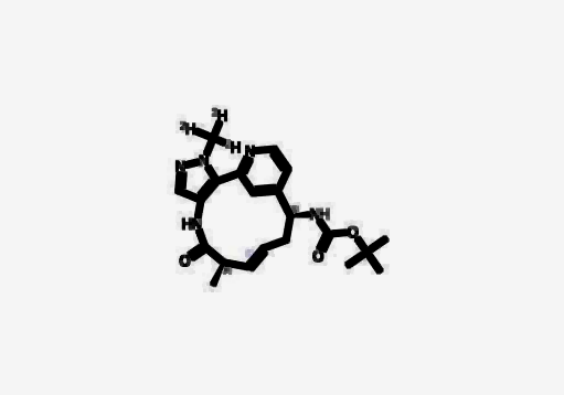 [2H]C([2H])([2H])n1ncc2c1-c1cc(ccn1)[C@@H](NC(=O)OC(C)(C)C)C/C=C/[C@@H](C)C(=O)N2